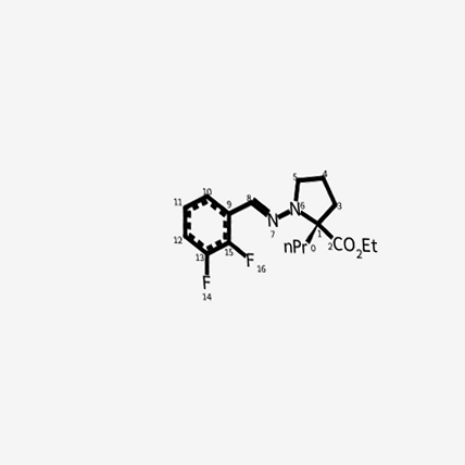 CCC[C@]1(C(=O)OCC)CCCN1N=Cc1cccc(F)c1F